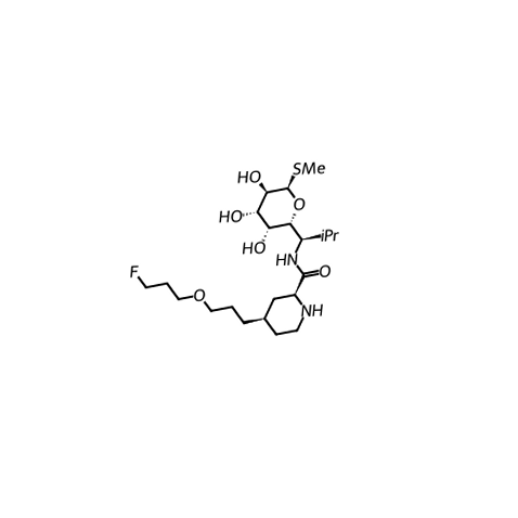 CS[C@H]1O[C@H]([C@H](NC(=O)[C@@H]2C[C@H](CCCOCCCF)CCN2)C(C)C)[C@H](O)[C@H](O)[C@H]1O